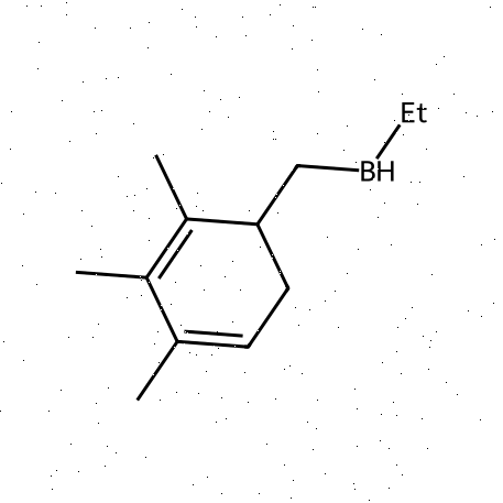 CCBCC1CC=C(C)C(C)=C1C